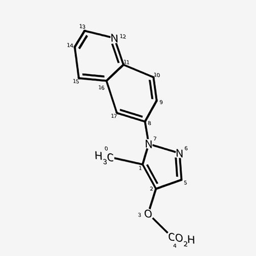 Cc1c(OC(=O)O)cnn1-c1ccc2ncccc2c1